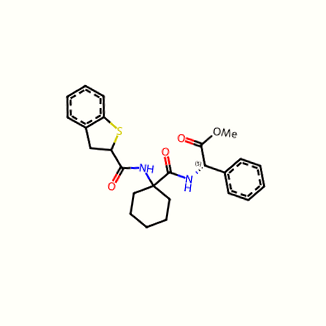 COC(=O)[C@@H](NC(=O)C1(NC(=O)C2Cc3ccccc3S2)CCCCC1)c1ccccc1